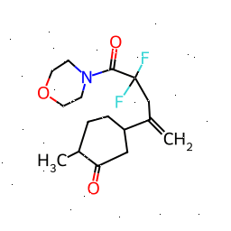 C=C(CC(F)(F)C(=O)N1CCOCC1)C1CCC(C)C(=O)C1